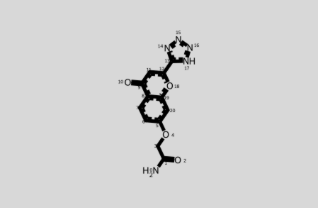 NC(=O)COc1ccc2c(=O)cc(-c3nnn[nH]3)oc2c1